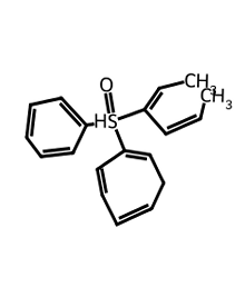 C/C=C\C(=C/C)[SH](=O)(C1=CCC=CC=C1)c1ccccc1